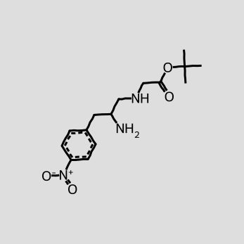 CC(C)(C)OC(=O)CNCC(N)Cc1ccc([N+](=O)[O-])cc1